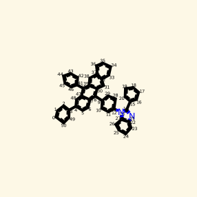 c1ccc(-c2ccc3c(-c4ccc(-n5c(-c6ccccc6)nc6ccccc65)cc4)c4cc5ccccc5cc4c(-c4ccccc4)c3c2)cc1